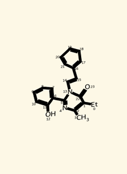 CCc1c(C)nc(-c2ccccc2O)n(C=Cc2ccccc2)c1=O